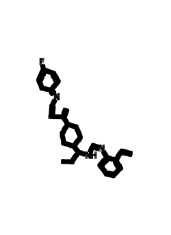 C=Cc1ccccc1/N=C\NC(CC)C1CCC(C(=C)/C=C\N=C2\C=CC(F)=CC2)CC1